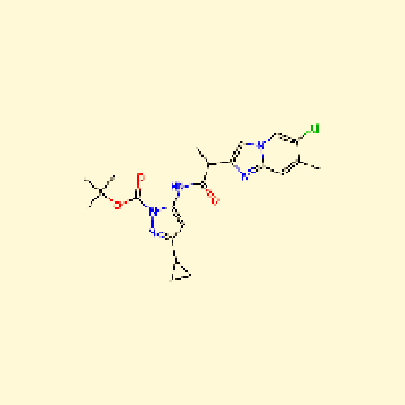 Cc1cc2nc(C(C)C(=O)Nc3cc(C4CC4)nn3C(=O)OC(C)(C)C)cn2cc1Cl